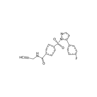 C#CCNC(=O)c1ccc(S(=O)(=O)n2nccc2-c2ccc(F)cc2)cc1